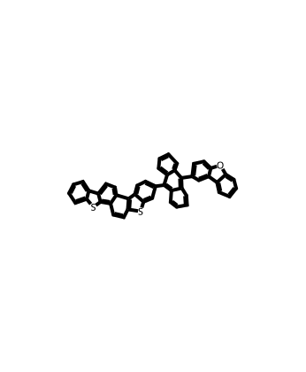 c1ccc2c(c1)oc1ccc(-c3c4ccccc4c(-c4ccc5c(c4)sc4ccc6c(ccc7c8ccccc8sc76)c45)c4ccccc34)cc12